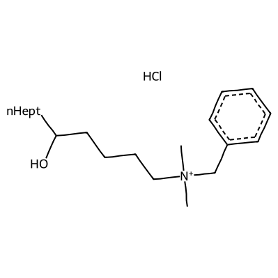 CCCCCCCC(O)CCCC[N+](C)(C)Cc1ccccc1.Cl